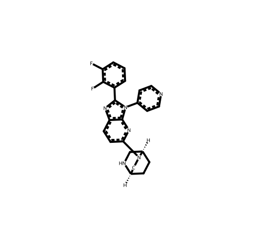 Fc1cccc(-c2nc3ccc(N4C[C@H]5CC[C@@H]4CN5)nc3n2-c2ccncc2)c1F